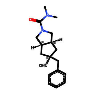 CN(C)C(=O)N1C[C@@H]2C[C@@](C=O)(Cc3ccccc3)C[C@@H]2C1